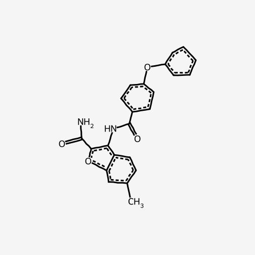 Cc1ccc2c(NC(=O)c3ccc(Oc4ccccc4)cc3)c(C(N)=O)oc2c1